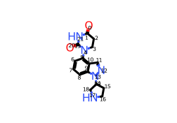 O=C1CCN(c2cccc3c2cnn3[C@H]2CCNC2)C(=O)N1